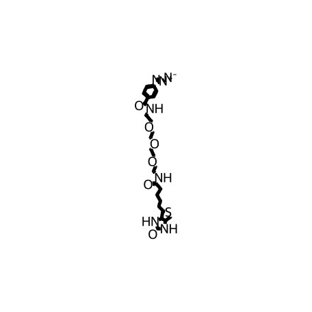 [N-]=[N+]=Nc1ccc(C(=O)NCCOCCOCCOCCNC(=O)CCCCC2SCC3NC(=O)NC32)cc1